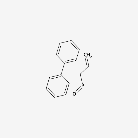 C=CCP=O.c1ccc(-c2ccccc2)cc1